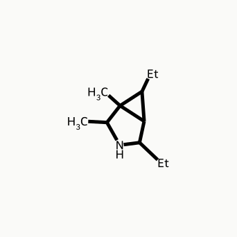 CCC1NC(C)C2(C)C(CC)C12